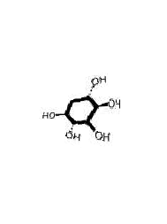 OC1[C@H](O)[C@@H](O)C[C@H](O)[C@H]1O